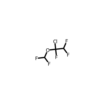 FC(F)OC(F)(Cl)C(F)F